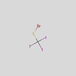 BrSC(I)(I)I